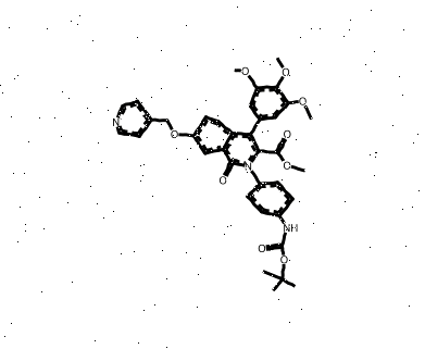 COC(=O)c1c(-c2cc(OC)c(OC)c(OC)c2)c2ccc(OCc3ccncc3)cc2c(=O)n1-c1ccc(NC(=O)OC(C)(C)C)cc1